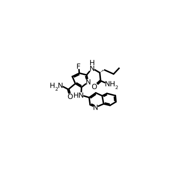 CCC[C@@H](Nc1nc(Nc2cnc3ccccc3c2)c(C(N)=O)cc1F)C(N)=O